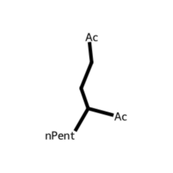 CCCCCC(CCC(C)=O)C(C)=O